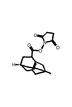 CC12CC3=C(C1)C(C(=O)ON1C(=O)CCC1=O)C[C@H]2C3